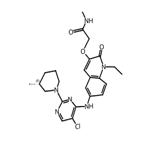 CCn1c(=O)c(OCC(=O)NC)cc2cc(Nc3nc(N4CCC[C@@H](C)C4)ncc3Cl)ccc21